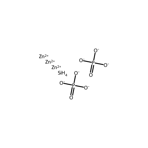 O=P([O-])([O-])[O-].O=P([O-])([O-])[O-].[SiH4].[Zn+2].[Zn+2].[Zn+2]